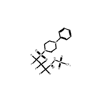 O=S(=O)(NS(=O)(=O)C(F)(F)C(F)(F)C(F)(F)S(=O)(=O)N1CCN(c2ccccc2)CC1)C(F)(F)F